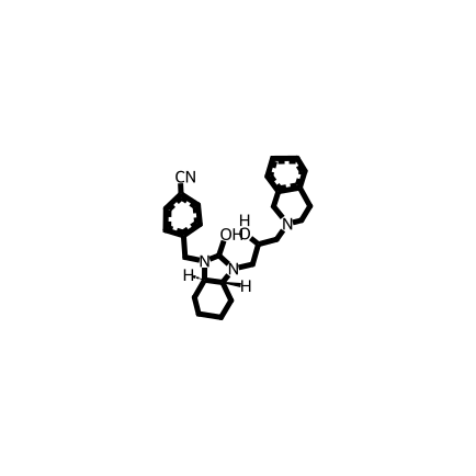 N#Cc1ccc(CN2C(O)N(CC(O)CN3CCc4ccccc4C3)[C@@H]3CCCC[C@H]32)cc1